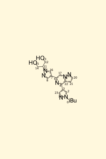 CCC(C)n1cc(-c2nc(-c3cnn(C(CO)CO)c3)cn3nccc23)cn1